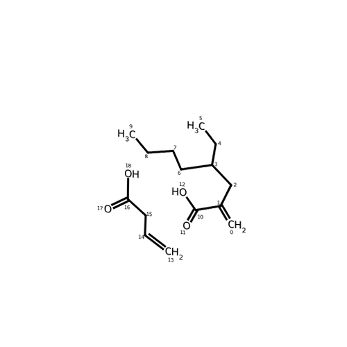 C=C(CC(CC)CCCC)C(=O)O.C=CCC(=O)O